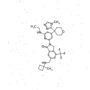 CCNc1cc(C2(c3nncn3C)CCOCC2)cc(N2Cc3c(cc(CNC4(C)CCC4)cc3C(F)(F)F)C2=O)n1